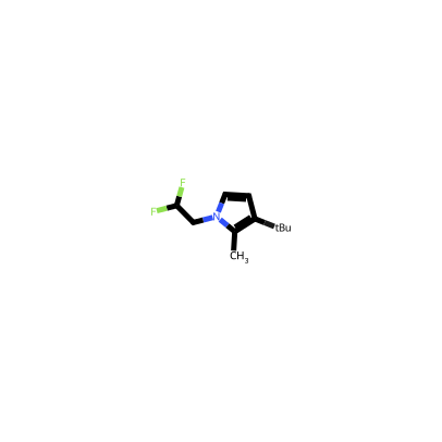 Cc1c(C(C)(C)C)ccn1CC(F)F